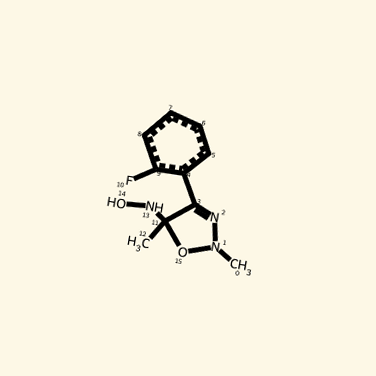 CN1N=C(c2ccccc2F)C(C)(NO)O1